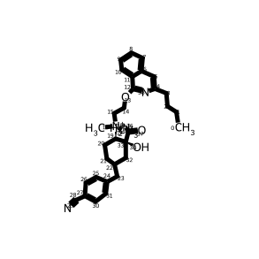 CCCCc1cc2ccccc2c(OCC[N+](C)(C)[C@H]2CCC(Cc3ccc(C#N)cc3)C[C@@]2(O)C(N)=O)n1